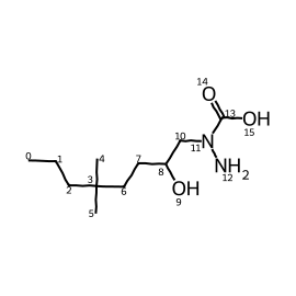 CCCC(C)(C)CCC(O)CN(N)C(=O)O